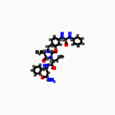 CC(C)C[C@@H](C(=O)N[C@@H](CC(N)=O)c1ccccc1)N1C(=O)C(C)N(Cc2ccc(NC(=O)Nc3ccccc3)cc2)C1=O